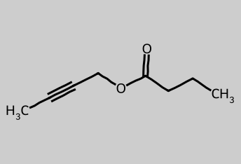 CC#CCOC(=O)CCC